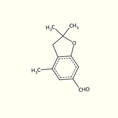 Cc1cc(C=O)cc2c1CC(C)(C)O2